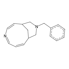 C1=CC2CC(C=CN=C1)CN(Cc1ccccc1)C2